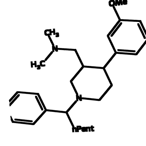 CCCCCC(c1ccccc1)N1CCC(c2cccc(OC)c2)C(CN(C)C)C1